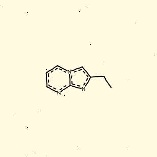 CCc1[c]n2cccnc2n1